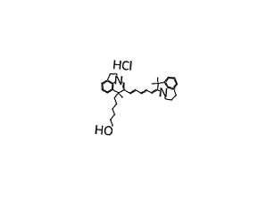 CC1(C)C(=CC=CC=CC2=CN3CCc4cccc(c43)C2(C)CCCCCCO)N2CCCc3cccc1c32.Cl